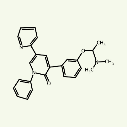 CC(Oc1cccc(-c2cc(-c3ccccn3)cn(-c3ccccc3)c2=O)c1)N(C)C